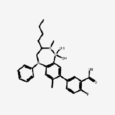 CCCCC1CN(c2ccccc2)c2cc(C)c(-c3ccc(F)c(C(=O)O)c3)cc2S(O)(O)N1C